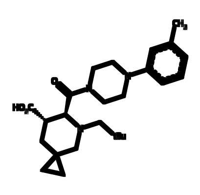 Cc1cccc(N2CCN(C(=O)[C@@H]3[C@@H](C(=O)O)CC4(CC4)CN3CC(C)(C)C)CC2)c1